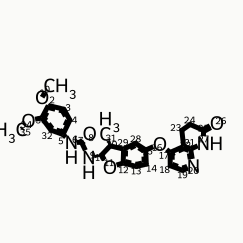 COc1ccc(NC(=O)N[C@@H]2Oc3ccc(Oc4ccnc5c4CCC(=O)N5)cc3[C@@H]2C)cc1OC